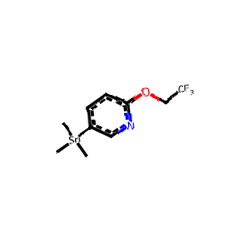 [CH3][Sn]([CH3])([CH3])[c]1ccc(OCC(F)(F)F)nc1